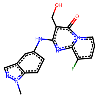 Cn1ncc2cc(Nc3nc4c(F)cccn4c(=O)c3CO)ccc21